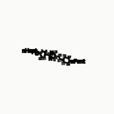 CCCCCCCOc1ccc(-c2ncc(CCC3CCC(CCCCC)CC3)cn2)cc1